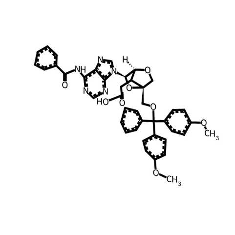 COc1ccc(C(OC[C@]23CO[C@@H](C2CC(=O)O)[C@H](n2cnc4c(NC(=O)c5ccccc5)ncnc42)O3)(c2ccccc2)c2ccc(OC)cc2)cc1